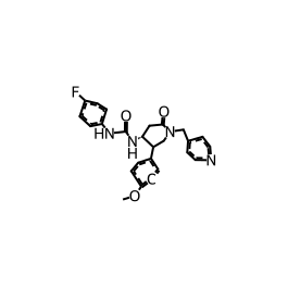 COc1ccc(C2CN(Cc3ccncc3)C(=O)C[C@H]2NC(=O)Nc2ccc(F)cc2)cc1